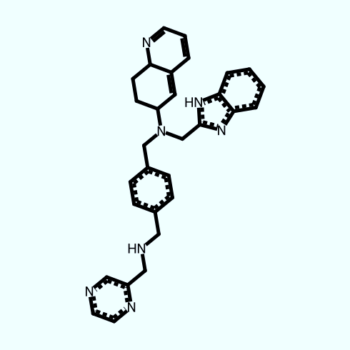 C1=CC2=CC(N(Cc3ccc(CNCc4cnccn4)cc3)Cc3nc4ccccc4[nH]3)CCC2N=C1